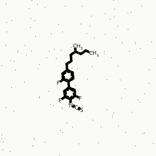 CCCC(C)CCCc1ccc(-c2cc(F)c(N=C=S)c(F)c2)c(F)c1